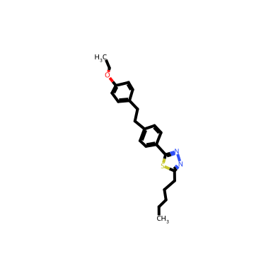 CCCCCc1nnc(-c2ccc(CCc3ccc(OCC)cc3)cc2)s1